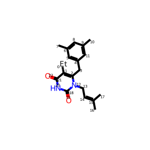 CCc1c(Cc2cc(C)cc(C)c2)n(CC=C(C)C)c(=O)[nH]c1=O